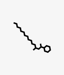 CCCCCCCCCCCCC(C)CC(C)[C]1CCCCC1